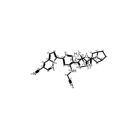 CC(C)(C)OC(=O)N1C2CCC1CN(c1nnc(-c3cnc(-c4ccc5cc(C#N)cnn45)cc3NCC#N)s1)C2